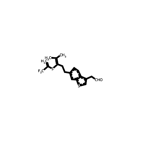 C=C(SC(CCc1ccc2c(CC=O)csc2c1)=C(C)C)C(F)(F)F